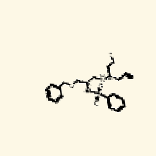 C=CC[C@H](CCO)NC[C@H](COCc1ccccc1)NS(=O)(=O)c1ccccc1